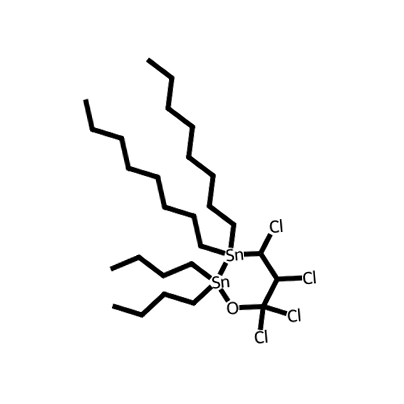 CCCCCCC[CH2][Sn]1([CH2]CCCCCCC)[CH](Cl)C(Cl)C(Cl)(Cl)[O][Sn]1([CH2]CCC)[CH2]CCC